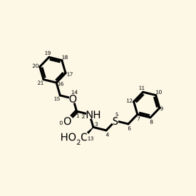 O=C(N[C@@H](CSCc1ccccc1)C(=O)O)OCc1ccccc1